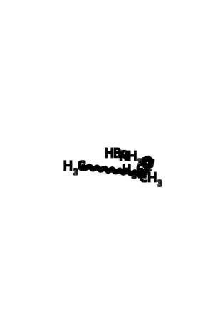 Br.CCCCCCCCCCCCCCCC[N+](C)(C)Cc1ccccc1.N